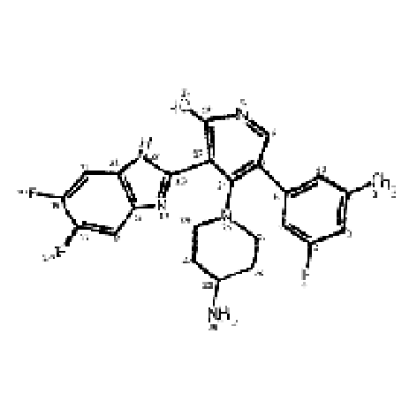 Cc1cc(F)cc(-c2cnc(O)c(-c3nc4cc(F)c(F)cc4[nH]3)c2N2CCC(N)CC2)c1